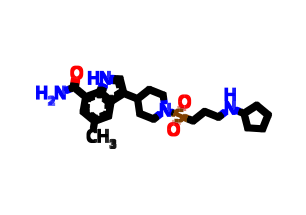 Cc1cc(C(N)=O)c2[nH]cc(C3CCN(S(=O)(=O)CCCNC4CCCC4)CC3)c2c1